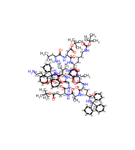 CC(C)C[C@H](N)C(=O)N[C@@H](CC(=O)OC(C)(C)C)C(=O)N[C@@H](CCCCNC(=O)OC(C)(C)C)C(=O)N[C@@H](CCC(=O)NC(c1ccccc1)(c1ccccc1)c1ccccc1)C(=O)N[C@@H](C)C(=O)N[C@@H](CCC(=O)NC(c1ccccc1)(c1ccccc1)c1ccccc1)C(=O)N[C@@H](C)C(=O)N[C@@H](CCC(=O)OC(C)(C)C)C(=O)N[C@@H](Cc1ccccc1)C(=O)N[C@H](C(=O)N[C@@H](CCCCN)C(=O)O)C(C)C